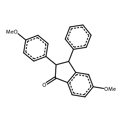 COc1ccc(C2C(=O)c3ccc(OC)cc3C2c2ccccc2)cc1